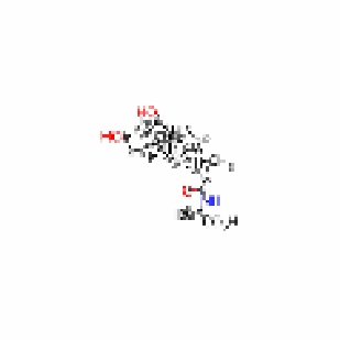 CC[C@@H](C)[C@H](NC(=O)CCC(C)[C@H]1CC[C@H]2[C@@H]3C[C@H](O)[C@@H]4C[C@H](O)CC[C@]4(C)[C@H]3CC[C@]12C)C(=O)O